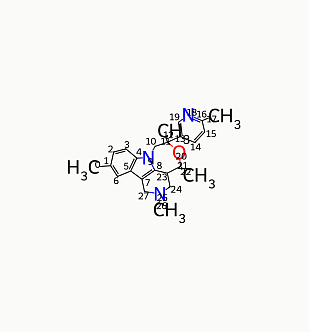 Cc1ccc2c(c1)c1c3n2CC(C)(c2ccc(C)nc2)OC(C)C3CN(C)C1